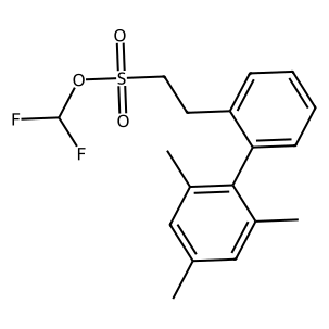 Cc1cc(C)c(-c2ccccc2CCS(=O)(=O)OC(F)F)c(C)c1